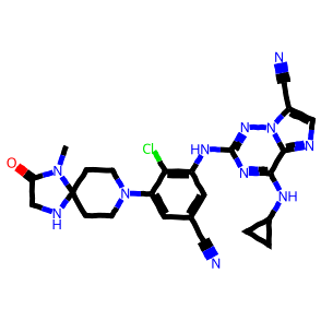 CN1C(=O)CNC12CCN(c1cc(C#N)cc(Nc3nc(NC4CC4)c4ncc(C#N)n4n3)c1Cl)CC2